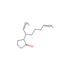 C=CCCCC(C=C)C1CCCC1=O